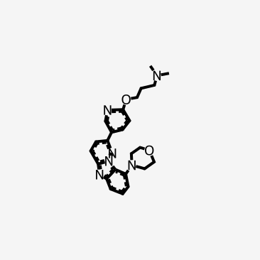 CN(C)CCCOc1ccc(-c2ccc3nc4cccc(N5CCOCC5)c4n3n2)cn1